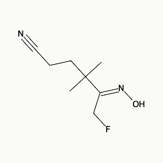 CC(C)(CCC#N)C(CF)=NO